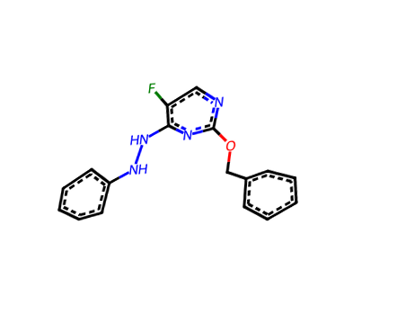 Fc1cnc(OCc2ccccc2)nc1NNc1ccccc1